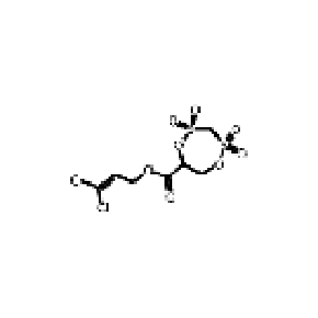 O=C(OCC=C(Cl)Cl)C1COS(=O)(=O)CS(=O)(=O)O1